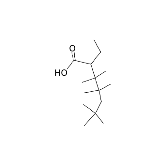 CCC(C(=O)O)C(C)(C)C(C)(C)CC(C)(C)C